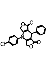 O=C1OCC2=C1C(c1ccccc1)C1=C(COC1=O)N2c1ccc(Cl)cc1